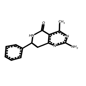 Cc1nc(N)nc2c1C(=O)NC(c1ccccc1)C2